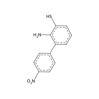 Nc1c(S)cccc1-c1ccc([N+](=O)[O-])cc1